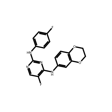 Fc1ccc(Nc2ncc(F)c(Nc3ccc4c(c3)OCCO4)n2)cc1